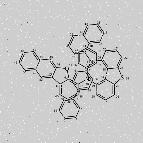 c1ccc(-c2ccc(N(c3cccc4ccccc34)c3cccc4sc5cccc(N(c6ccccc6)c6cccc7c6oc6cc8ccccc8cc67)c5c34)cc2)cc1